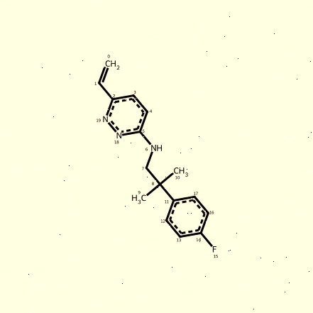 C=Cc1ccc(NCC(C)(C)c2ccc(F)cc2)nn1